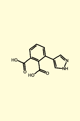 O=C(O)c1cccc(-c2cn[nH]c2)c1C(=O)O